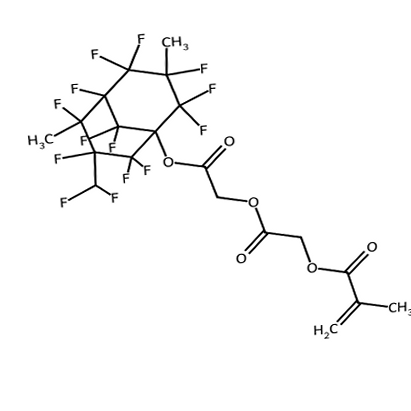 C=C(C)C(=O)OCC(=O)OCC(=O)OC12C(F)(F)C(C)(F)C(F)(F)C(F)(C(C)(F)C(F)(C(F)F)C1(F)F)C2(F)F